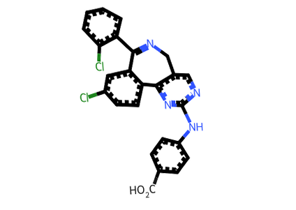 O=C(O)c1ccc(Nc2ncc3c(n2)-c2ccc(Cl)cc2C(c2ccccc2Cl)=NC3)cc1